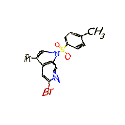 Cc1ccc(S(=O)(=O)n2cc(C(C)C)c3cc(Br)ncc32)cc1